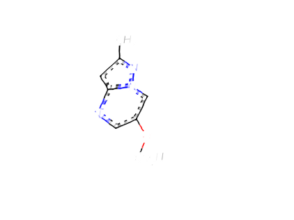 Cc1cc2ncc(OC(=O)O)cn2n1